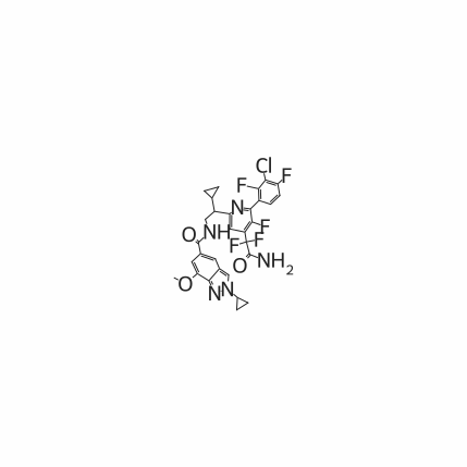 COc1cc(C(=O)NCC(c2cc(C(F)(F)C(N)=O)c(F)c(-c3ccc(F)c(Cl)c3F)n2)C2CC2)cc2cn(C3CC3)nc12